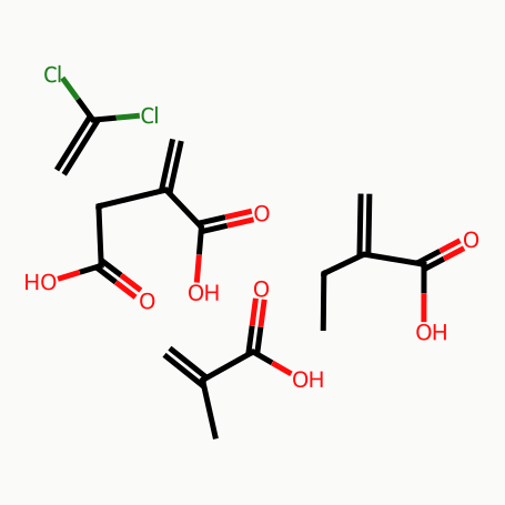 C=C(C)C(=O)O.C=C(CC(=O)O)C(=O)O.C=C(CC)C(=O)O.C=C(Cl)Cl